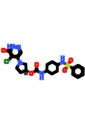 O=C(NC1CCC(NS(=O)(=O)c2ccccc2)CC1)O[C@@H]1CCN(c2cn[nH]c(=O)c2Cl)C1